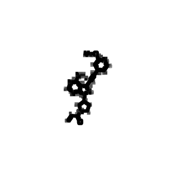 C=CC(=O)N1CCC(n2nc(C#Cc3ccnc(OC)c3)c3c(N)ncnc32)C1